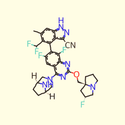 Cc1cc2[nH]nc(C#N)c2c(-c2c(F)cc3c(N4C[C@H]5CC[C@@H](C4)N5)nc(OC[C@@]45CCCN4C[C@H](F)C5)nc3c2F)c1C(F)F